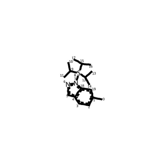 Cc1ccc2cnn(S(C(C)C)(C(C)C)C(C)C)c2c1